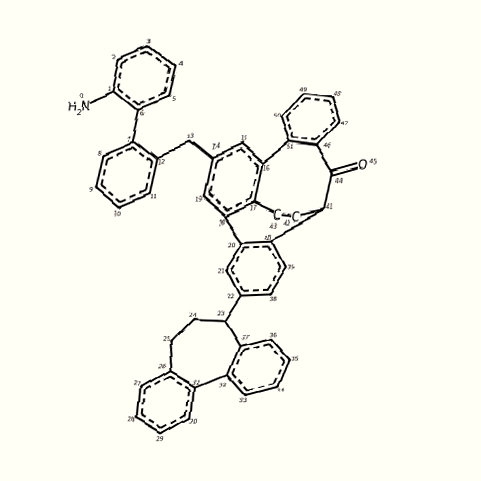 Nc1ccccc1-c1ccccc1Cc1cc2c3c(c1)-c1cc(C4CCc5ccccc5-c5ccccc54)ccc1C(CC3)C(=O)c1ccccc1-2